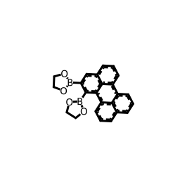 c1cc2cccc3c4c(B5OCCO5)c(B5OCCO5)cc5cccc(c(c1)c23)c54